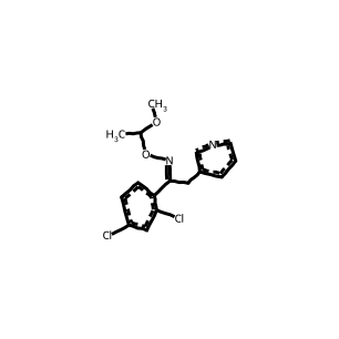 COC(C)ON=C(Cc1cccnc1)c1ccc(Cl)cc1Cl